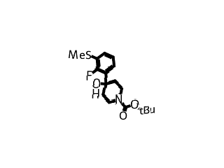 CSc1cccc(C2(O)CCN(C(=O)OC(C)(C)C)CC2)c1F